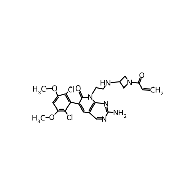 C=CC(=O)N1CC(NCCn2c(=O)c(-c3c(Cl)c(OC)cc(OC)c3Cl)cc3cnc(N)nc32)C1